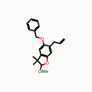 C=CCc1cc2c(cc1OCc1ccccc1)C(C)(C)C(OC)O2